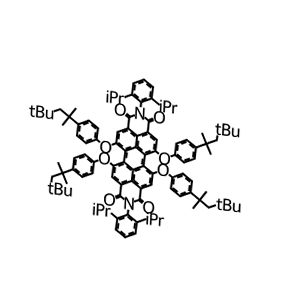 CC(C)c1cccc(C(C)C)c1N1C(=O)c2cc(Oc3ccc(C(C)(C)CC(C)(C)C)cc3)c3c4c(Oc5ccc(C(C)(C)CC(C)(C)C)cc5)cc5c6c(cc(Oc7ccc(C(C)(C)CC(C)(C)C)cc7)c(c7c(Oc8ccc(C(C)(C)CC(C)(C)C)cc8)cc(c2c37)C1=O)c64)C(=O)N(c1c(C(C)C)cccc1C(C)C)C5=O